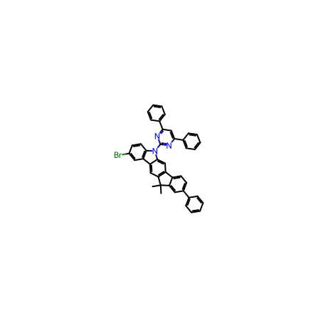 CC1(C)c2cc(-c3ccccc3)ccc2-c2cc3c(cc21)c1cc(Br)ccc1n3-c1nc(-c2ccccc2)cc(-c2ccccc2)n1